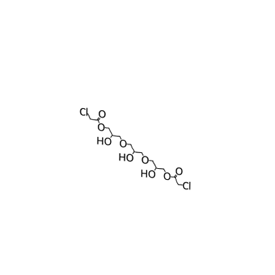 O=C(CCl)OCC(O)COCC(O)COCC(O)COC(=O)CCl